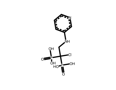 O=P(O)(O)C(Cl)(CNc1cccnc1)P(=O)(O)O